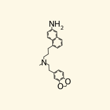 CN(CCCc1cccc2cc(N)ccc12)CCc1ccc2c(c1)OCO2